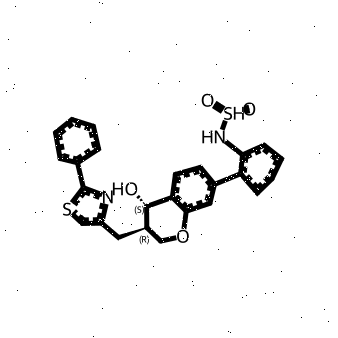 O=[SH](=O)Nc1ccccc1-c1ccc2c(c1)OC[C@@H](Cc1csc(-c3ccccc3)n1)[C@@H]2O